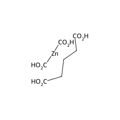 O=C(O)CCCC(=O)O.O=[C](O)[Zn][C](=O)O